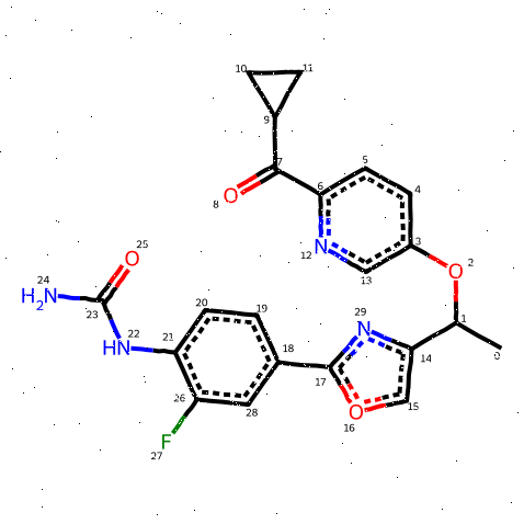 CC(Oc1ccc(C(=O)C2CC2)nc1)c1coc(-c2ccc(NC(N)=O)c(F)c2)n1